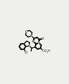 CC(c1cc(C(=O)O)cn2c(=O)cc(N3CCOCC3)nc12)N1CCc2cccc(Cl)c21